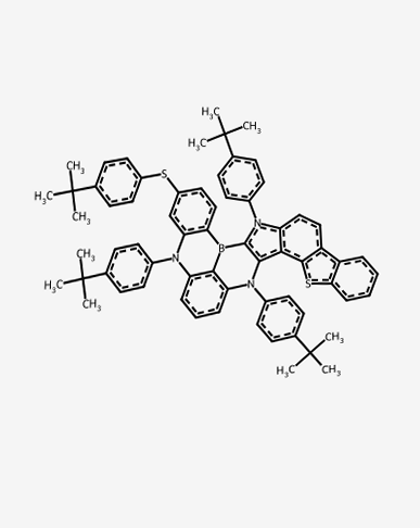 CC(C)(C)c1ccc(Sc2ccc3c(c2)N(c2ccc(C(C)(C)C)cc2)c2cccc4c2B3c2c(c3c5sc6ccccc6c5ccc3n2-c2ccc(C(C)(C)C)cc2)N4c2ccc(C(C)(C)C)cc2)cc1